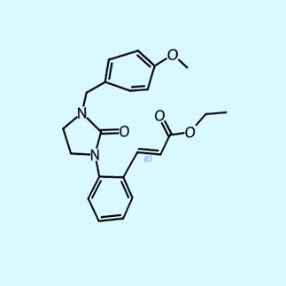 CCOC(=O)/C=C/c1ccccc1N1CCN(Cc2ccc(OC)cc2)C1=O